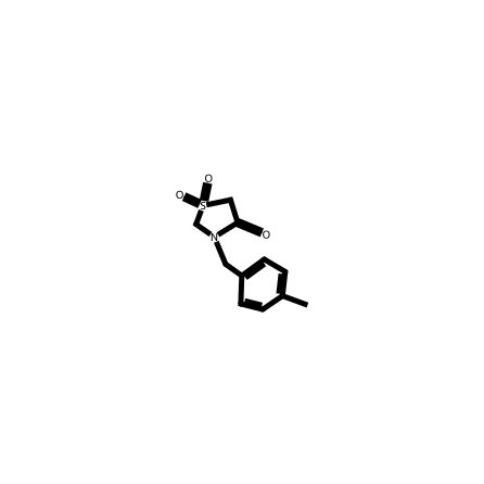 Cc1ccc(CN2CS(=O)(=O)CC2=O)cc1